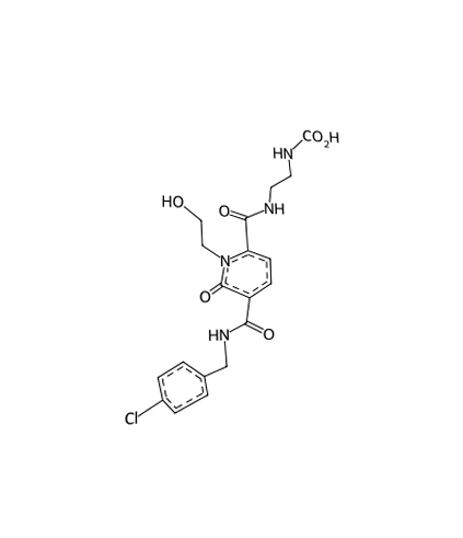 O=C(O)NCCNC(=O)c1ccc(C(=O)NCc2ccc(Cl)cc2)c(=O)n1CCO